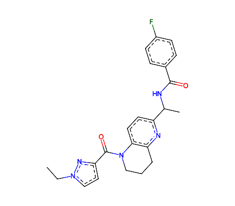 CCn1ccc(C(=O)N2CCCc3nc(C(C)NC(=O)c4ccc(F)cc4)ccc32)n1